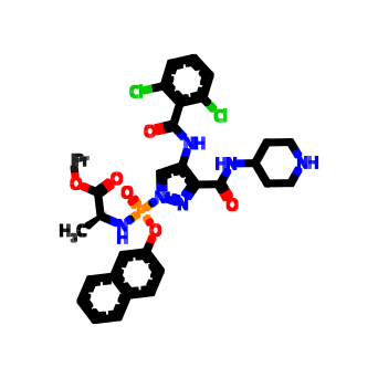 CC(C)OC(=O)[C@H](C)NP(=O)(Oc1ccc2ccccc2c1)n1cc(NC(=O)c2c(Cl)cccc2Cl)c(C(=O)NC2CCNCC2)n1